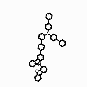 c1ccc(-c2ccc(N(c3ccc(-c4ccccc4)cc3)c3cccc(-c4ccc(-c5ccc6c(c5)c5ccccc5n6-c5cccc6c5oc5ccccc56)cc4)c3)cc2)cc1